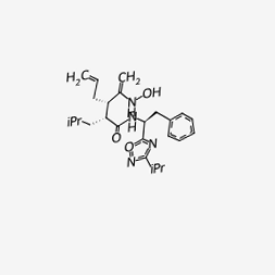 C=CC[C@H](C(=C)NO)[C@@H](CC(C)C)C(=O)N[C@@H](Cc1ccccc1)c1nc(C(C)C)no1